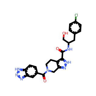 O=C(NC(CO)Cc1ccc(Cl)cc1)c1[nH]nc2c1CCN(C(=O)c1ccc3[nH]nnc3c1)C2